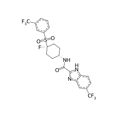 O=C(N[C@H]1CC[C@](F)(S(=O)(=O)c2cccc(C(F)(F)F)c2)CC1)c1nc2cc(C(F)(F)F)ccc2[nH]1